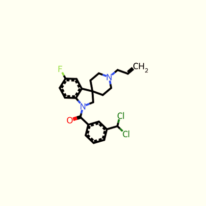 C=CCN1CCC2(CC1)CN(C(=O)c1cccc(C(Cl)Cl)c1)c1ccc(F)cc12